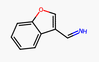 N=Cc1coc2ccccc12